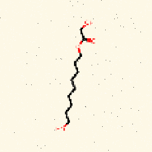 O=C(CO)OCCCCCCCCCO